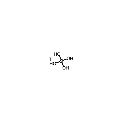 O[Si](O)(O)O.[Tl]